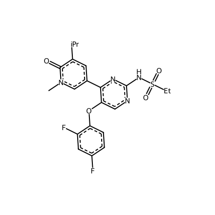 CCS(=O)(=O)Nc1ncc(Oc2ccc(F)cc2F)c(-c2cc(C(C)C)c(=O)n(C)c2)n1